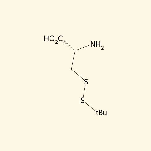 CC(C)(C)SSC[C@@H](N)C(=O)O